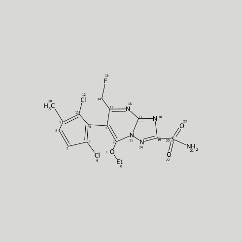 CCOc1c(-c2c(Cl)ccc(C)c2Cl)c(CF)nc2nc(S(N)(=O)=O)nn12